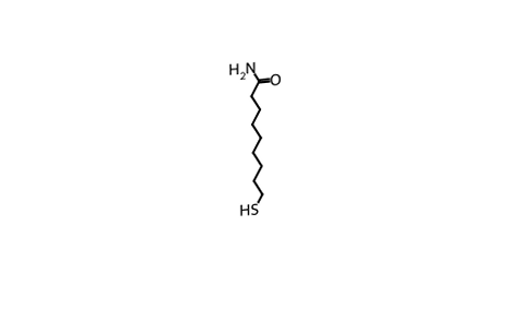 NC(=O)CCCCCCCCS